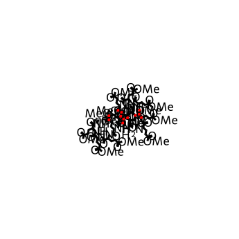 CCCCCCNC(=O)C(CCC(=O)OC)NC(=O)C(CCC(=O)OC)NC(=O)C(CCC(=O)OC)NC(=O)C(CCC(=O)OC)NC(=O)C(CCC(=O)OC)NC(=O)C(CCC(=O)OC)NC(=O)C(CCC(=O)OC)NC(=O)C(CCC(=O)OC)NC(=O)C(CCC(=O)OC)NC(=O)C(CCC(=O)OC)NC(=O)C(CCC(=O)OC)NC(=O)C(CCC(=O)OC)NC(=O)C(N)CCC(=O)OC